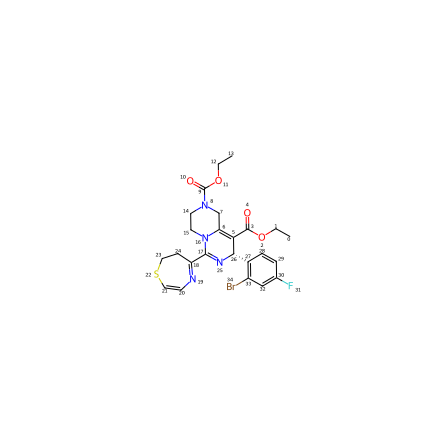 CCOC(=O)C1=C2CN(C(=O)OCC)CCN2C(C2=NC=CSCC2)=N[C@H]1c1ccc(F)cc1Br